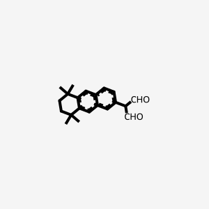 CC1(C)CCC(C)(C)c2cc3cc(C(C=O)C=O)ccc3cc21